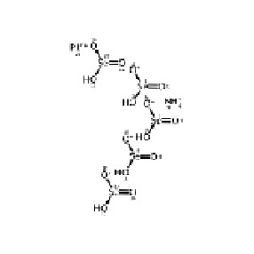 O=[Se]([O-])O.O=[Se]([O-])O.O=[Se]([O-])O.O=[Se]([O-])O.O=[Se]([O-])O.[NH4+].[Pt+4]